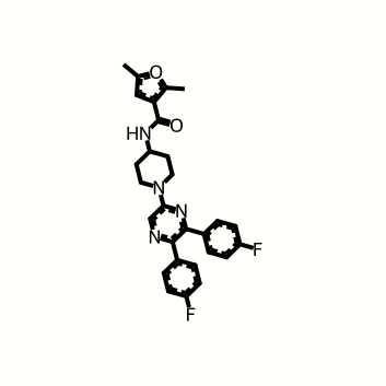 Cc1cc(C(=O)NC2CCN(c3cnc(-c4ccc(F)cc4)c(-c4ccc(F)cc4)n3)CC2)c(C)o1